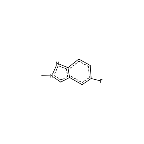 Cn1cc2cc(F)ccc2n1